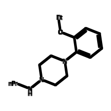 CCCNN1CCN(c2ccccc2OCC)CC1